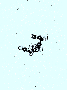 O=C(C=Cc1ccc(Cl)cc1)N1CCC(O)(C(O)CN2CCC(c3c[nH]c4ccc(N5CCOCC5)cc34)CC2)CC1